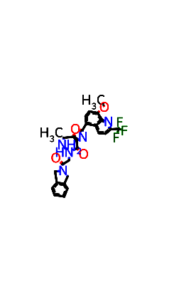 COc1ccc(-c2nc(C(=O)NCC(=O)N3Cc4ccccc4C3)c([C@H](C)N)o2)c2ccc(C(F)(F)F)nc12